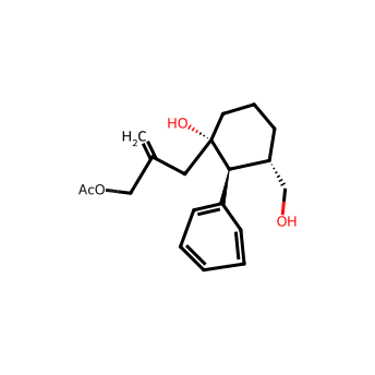 C=C(COC(C)=O)C[C@@]1(O)CCC[C@H](CO)[C@H]1c1ccccc1